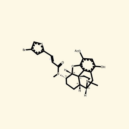 CC(=O)Oc1cc(O)c2c3c1O[C@H]1[C@@H](N(C)C(=O)/C=C/c4cc(Br)cs4)CC[C@H]4[C@@H](C2)N(C)CC[C@@]341